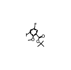 COc1c(I)cc(F)cc1C(=O)OC(C)(C)C